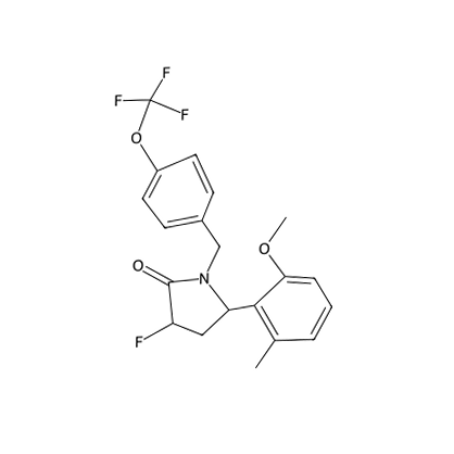 COc1cccc(C)c1C1CC(F)C(=O)N1Cc1ccc(OC(F)(F)F)cc1